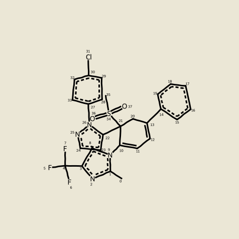 Cc1nc(C(F)(F)F)cn1C1=CC=C(c2ccccc2)CC1(c1ccnn1-c1ccc(Cl)cc1)S(C)(=O)=O